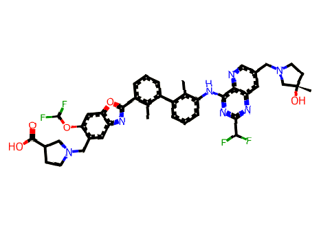 Cc1c(Nc2nc(C(F)F)nc3cc(CN4CC[C@](C)(O)C4)cnc23)cccc1-c1cccc(-c2nc3cc(CN4CCC(C(=O)O)C4)c(OC(F)F)cc3o2)c1C